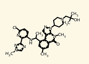 Cc1cc(C(C)Nc2ccc(Cl)nc2-c2ncn(C)n2)c2c(c1)c(=O)n(C)c1c2cnn1C1CCN(CC(C)(C)O)CC1